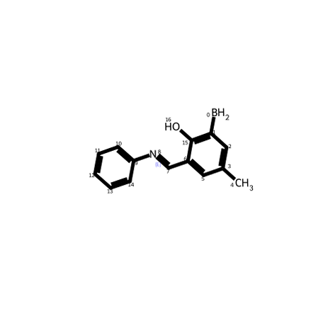 Bc1cc(C)cc(/C=N/c2ccccc2)c1O